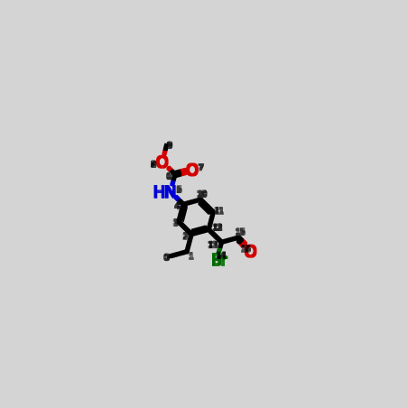 CCc1cc(NC(=O)OC)ccc1C(Br)C=O